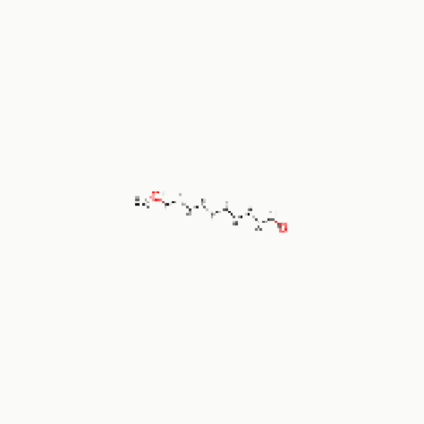 CCOCCCCCCCCCC[O]